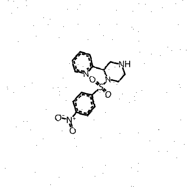 O=[N+]([O-])c1ccc(S(=O)(=O)N2CCNCC2c2ccccn2)cc1